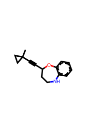 CC1(C#CC2CCNc3ccccc3O2)CC1